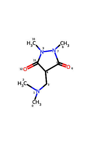 CN(C)CC1C(=O)N(C)N(C)C1=O